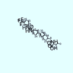 CC[C@H](C)C(NC(=O)CC1CCc2cc(-c3ccc(NC(=O)Nc4cccc(C(F)(F)F)c4)cc3)ccc2C1)C(=O)O